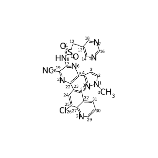 Cn1ccc(-c2nc(NS(=O)(=O)Cc3cncnc3)c(C#N)nc2-c2cc(Cl)c3ncccc3c2)n1